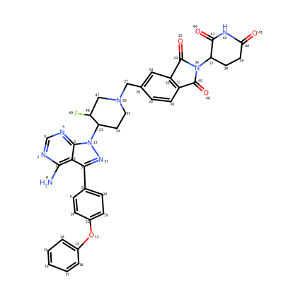 Nc1ncnc2c1c(-c1ccc(Oc3ccccc3)cc1)nn2C1CCN(Cc2ccc3c(c2)C(=O)N(C2CCC(=O)NC2=O)C3=O)CC1F